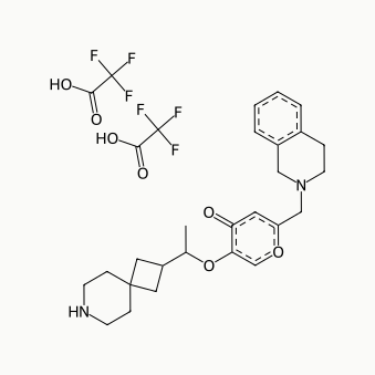 CC(Oc1coc(CN2CCc3ccccc3C2)cc1=O)C1CC2(CCNCC2)C1.O=C(O)C(F)(F)F.O=C(O)C(F)(F)F